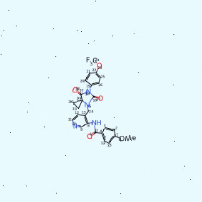 COc1ccc(C(=O)Nc2cnccc2CN2C(=O)N(c3ccc(OC(F)(F)F)cc3)C(=O)C23CC3)cc1